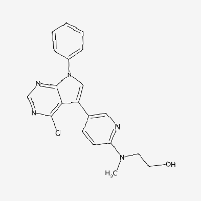 CN(CCO)c1ccc(-c2cn(-c3ccccc3)c3ncnc(Cl)c23)cn1